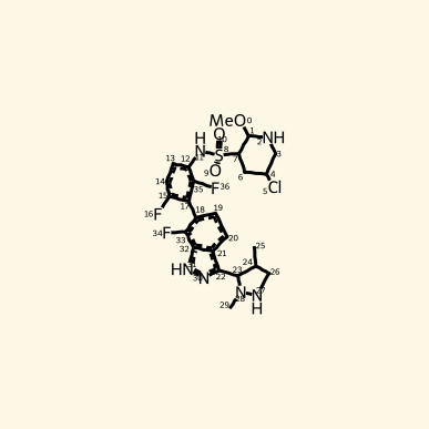 COC1NCC(Cl)CC1S(=O)(=O)Nc1ccc(F)c(-c2ccc3c(C4C(C)CNN4C)n[nH]c3c2F)c1F